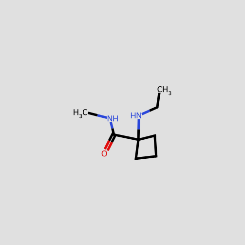 CCNC1(C(=O)NC)CCC1